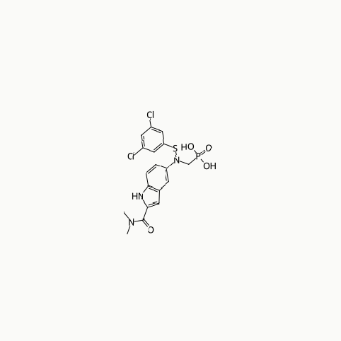 CN(C)C(=O)c1cc2cc(N(CP(=O)(O)O)Sc3cc(Cl)cc(Cl)c3)ccc2[nH]1